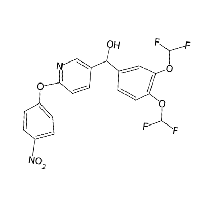 O=[N+]([O-])c1ccc(Oc2ccc(C(O)c3ccc(OC(F)F)c(OC(F)F)c3)cn2)cc1